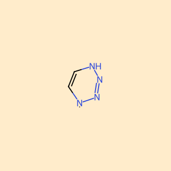 C1=CNN=N[N]1